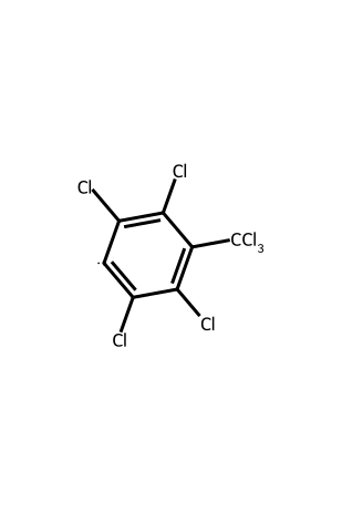 Clc1[c]c(Cl)c(Cl)c(C(Cl)(Cl)Cl)c1Cl